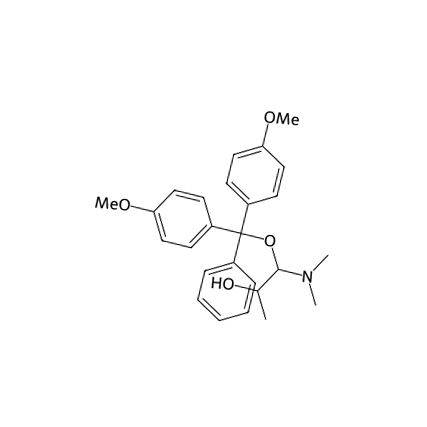 COc1ccc(C(OC(C(C)O)N(C)C)(c2ccccc2)c2ccc(OC)cc2)cc1